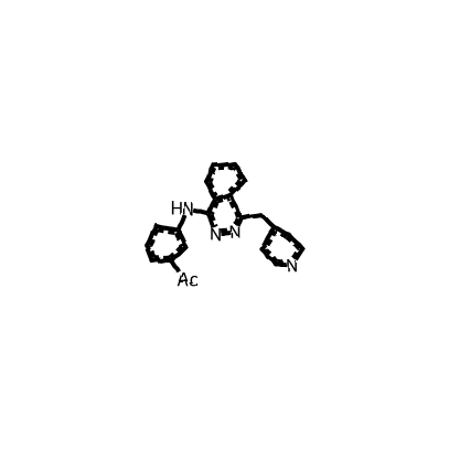 CC(=O)c1cccc(Nc2nnc(Cc3ccncc3)c3ccccc23)c1